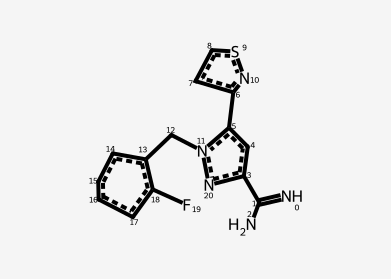 N=C(N)c1cc(-c2ccsn2)n(Cc2ccccc2F)n1